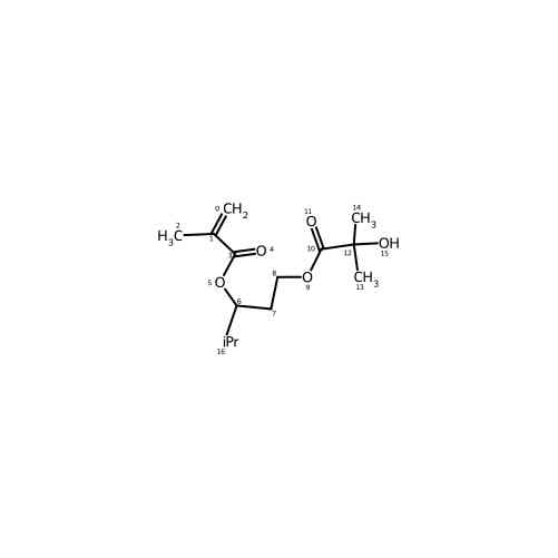 C=C(C)C(=O)OC(CCOC(=O)C(C)(C)O)C(C)C